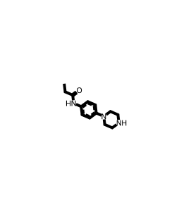 CCC(=O)Nc1ccc(N2CCNCC2)cc1